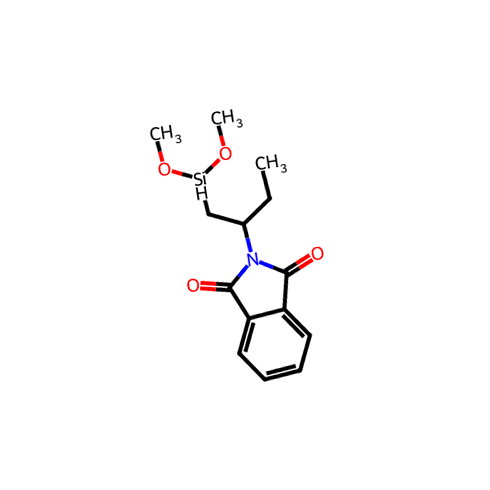 CCC(C[SiH](OC)OC)N1C(=O)c2ccccc2C1=O